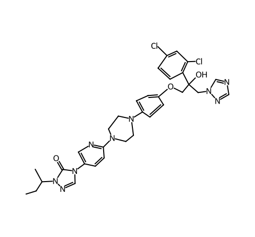 CCC(C)n1ncn(-c2ccc(N3CCN(c4ccc(OCC(O)(Cn5cncn5)c5ccc(Cl)cc5Cl)cc4)CC3)nc2)c1=O